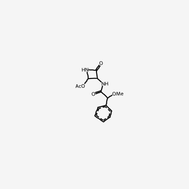 COC(C(=O)NC1C(=O)NC1OC(C)=O)c1ccccc1